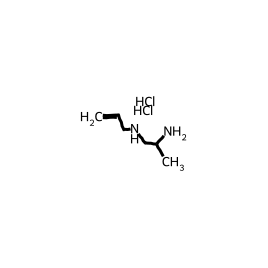 C=CCNCC(C)N.Cl.Cl